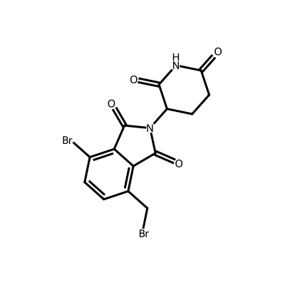 O=C1CCC(N2C(=O)c3c(Br)ccc(CBr)c3C2=O)C(=O)N1